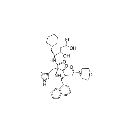 CCC(O)CC(O)[C@H](CC1CCCCC1)NC(=O)[C@@](N)(Cc1c[nH]cn1)C(=O)C(CC(=O)N1CCOCC1)Cc1cccc2ccccc12